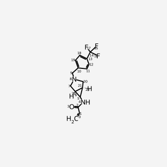 C=CC(=O)NC1[C@H]2CN(Cc3ccc(C(F)(F)F)cc3)C[C@@H]12